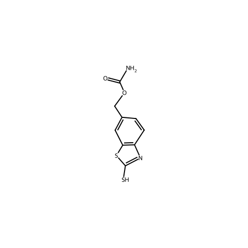 NC(=O)OCc1ccc2nc(S)sc2c1